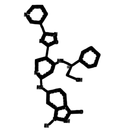 CCn1[nH]c(=O)c2ccc(Nc3cc(N[C@H](CO)c4ccccc4)c(-c4nc(-c5cccnc5)no4)cn3)cc21